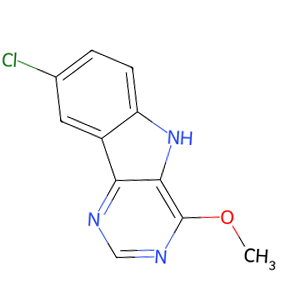 COc1ncnc2c1[nH]c1ccc(Cl)cc12